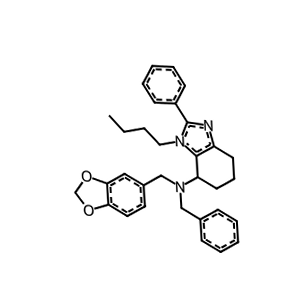 CCCCn1c(-c2ccccc2)nc2c1C(N(Cc1ccccc1)Cc1ccc3c(c1)OCO3)CCC2